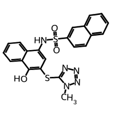 Cn1nnnc1Sc1cc(NS(=O)(=O)c2ccc3ccccc3c2)c2ccccc2c1O